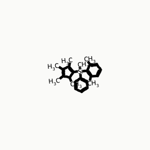 CC1=C(C)C(C)C([Si](C)(c2ccccc2)c2c(C)cccc2C)=C1C